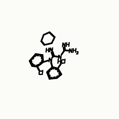 C1CCCCC1.N=C(N)NC(=N)N(c1ccccc1Cl)c1ccccc1Cl